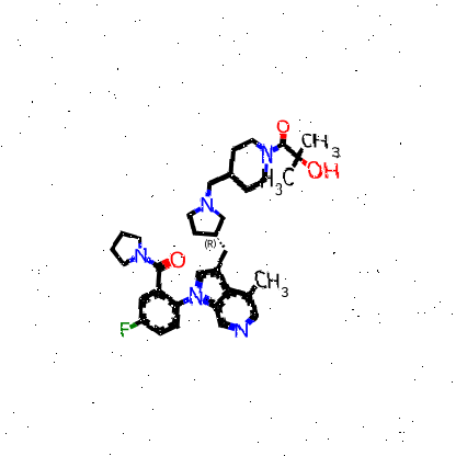 Cc1cncc2c1c(C[C@@H]1CCN(CC3CCN(C(=O)C(C)(C)O)CC3)C1)cn2-c1ccc(F)cc1C(=O)N1CCCC1